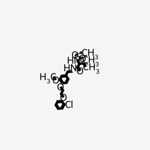 CCS(=O)(=O)NC(C(=O)NCCc1ccc(OCCOc2ccccc2Cl)c(OC)c1)C(C)C